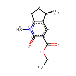 CCOC(=O)c1cc2c(n(C)c1=O)CC[C@H]2C